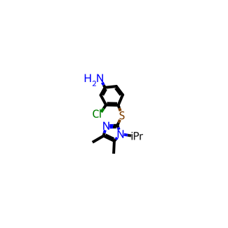 Cc1nc(Sc2ccc(N)cc2Cl)n(C(C)C)c1C